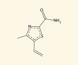 C=Cc1sc(C(N)=O)nc1C